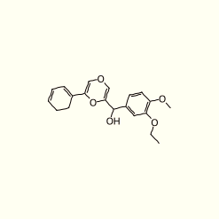 CCOc1cc(C(O)C2=COC=C(C3=CC=CCC3)O2)ccc1OC